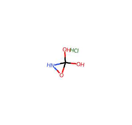 Cl.OC1(O)NO1